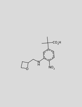 CC(C)(C(=O)O)c1ccc([N+](=O)[O-])c(NCC2CCO2)c1